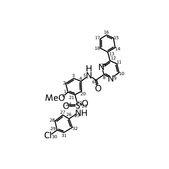 COc1ccc(NC(=O)c2nccc(-c3ccccc3)n2)cc1S(=O)(=O)Nc1ccc(Cl)cc1